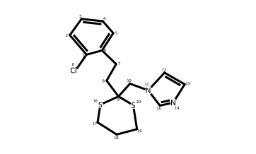 Clc1ccccc1CCC1(Cn2ccnc2)SCCCS1